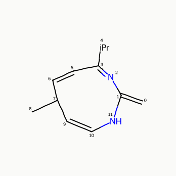 C=C1/N=C(C(C)C)\C=C/C(C)/C=C\N1